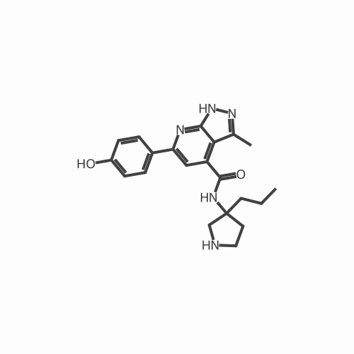 CCCC1(NC(=O)c2cc(-c3ccc(O)cc3)nc3[nH]nc(C)c23)CCNC1